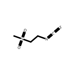 CS(=O)(=O)CCN=C=S